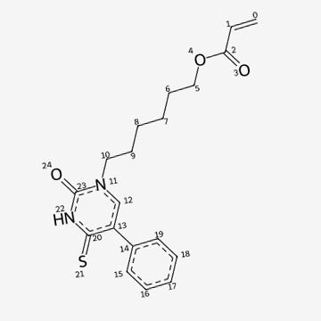 C=CC(=O)OCCCCCCn1cc(-c2ccccc2)c(=S)[nH]c1=O